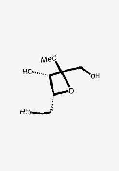 COC1(CO)O[C@H](CO)[C@@H]1O